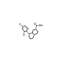 O=C(O)c1ccc2cccc(-c3ncc(F)cc3Cl)c2c1